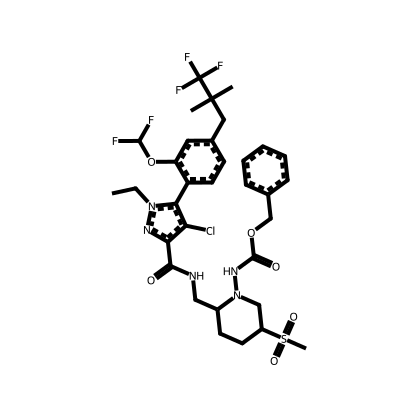 CCn1nc(C(=O)NCC2CCC(S(C)(=O)=O)CN2NC(=O)OCc2ccccc2)c(Cl)c1-c1ccc(CC(C)(C)C(F)(F)F)cc1OC(F)F